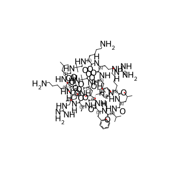 CC(C)C[C@H](NC(=O)[C@H](CCCNC(=N)N)NC(=O)[C@H](CCCCN)NC(=O)C(C)(C)NC(=O)[C@H](CC(C)C)NC(=O)[C@H](CCCCN)NC(=O)[C@H](CCCNC(=N)N)NC(=O)[C@H](CC(C)C)NC(=O)C(C)(C)NC(=O)[C@H](CO)NC(=O)[C@H](C)NC(=O)[C@H](C)NC(=O)[C@H](Cc1ccccc1)NC(=O)[C@H](Cc1ccccc1)NC(=O)[C@@H](NC(=O)[C@H](CC(C)C)NC(=O)[C@@H](N)CCCCN)C(C)C)C(=O)O